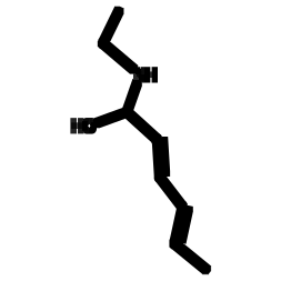 CC=CC=CC(O)NCC